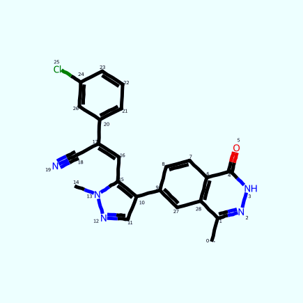 [CH2]c1n[nH]c(=O)c2ccc(-c3cnn(C)c3C=C(C#N)c3cccc(Cl)c3)cc12